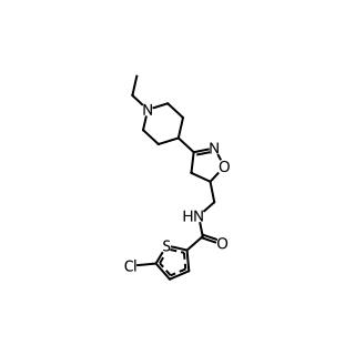 CCN1CCC(C2=NOC(CNC(=O)c3ccc(Cl)s3)C2)CC1